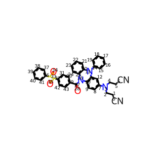 N#CCCN(CCC#N)c1ccc2c(c1)N(c1ccccc1)c1ccccc1N2C(=O)c1ccc(S(=O)(=O)c2ccccc2)cc1